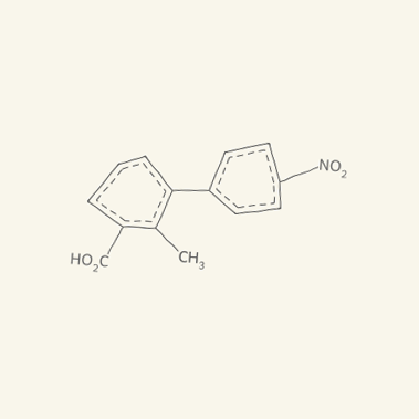 Cc1c(C(=O)O)cccc1-c1ccc([N+](=O)[O-])cc1